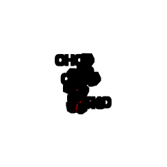 O=Cc1ccccc1OP(Oc1ccccc1C=O)Oc1ccccc1P(=O)(c1ccccc1)c1ccccc1OP(Oc1ccccc1C=O)Oc1ccccc1C=O